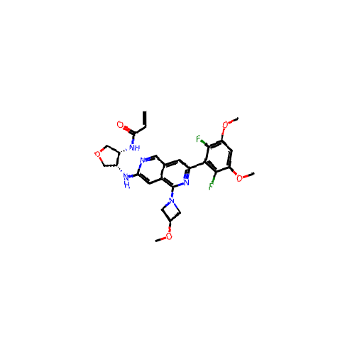 C=CC(=O)N[C@H]1COC[C@H]1Nc1cc2c(N3CC(OC)C3)nc(-c3c(F)c(OC)cc(OC)c3F)cc2cn1